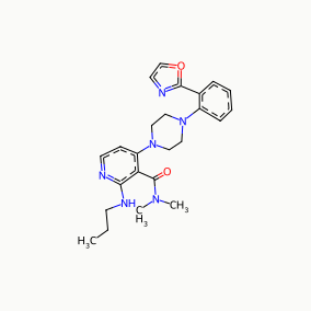 CCCNc1nccc(N2CCN(c3ccccc3-c3ncco3)CC2)c1C(=O)N(C)C